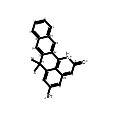 CC(C)c1cc2c3c([nH]c(=O)cc3c1)-c1cc3ccccc3cc1C2(C)C